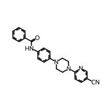 N#Cc1ccc(N2CCN(c3ccc(NC(=O)c4ccccc4)cc3)CC2)nc1